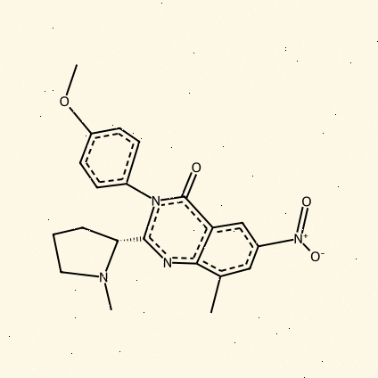 COc1ccc(-n2c([C@H]3CCCN3C)nc3c(C)cc([N+](=O)[O-])cc3c2=O)cc1